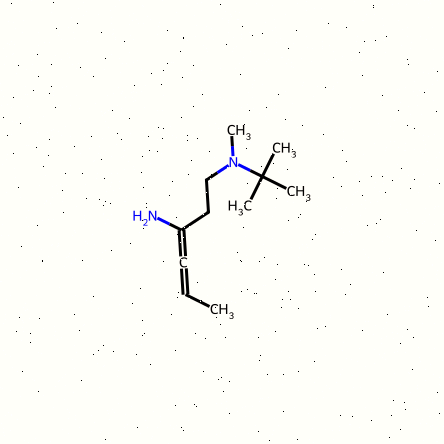 CC=C=C(N)CCN(C)C(C)(C)C